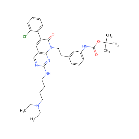 CCN(CC)CCCCNc1ncc2cc(-c3ccccc3Cl)c(=O)n(CCc3cccc(NC(=O)OC(C)(C)C)c3)c2n1